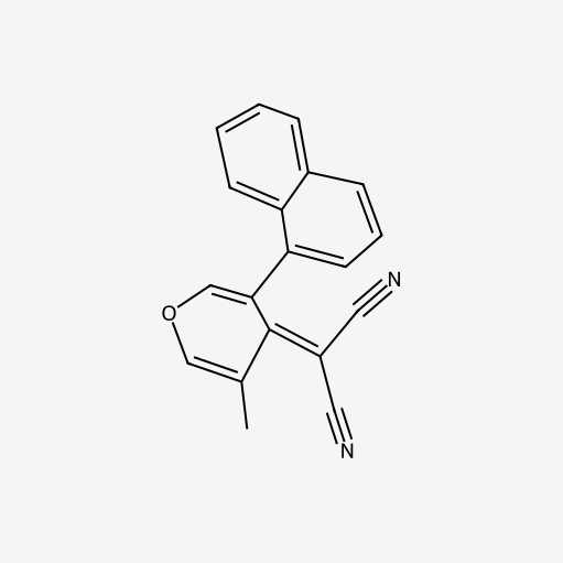 CC1=COC=C(c2cccc3ccccc23)C1=C(C#N)C#N